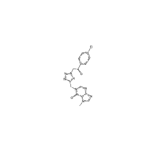 Cn1cnc2ncn(Cc3nnn(CC(=O)c4ccc(Cl)cc4)n3)c(=O)c21